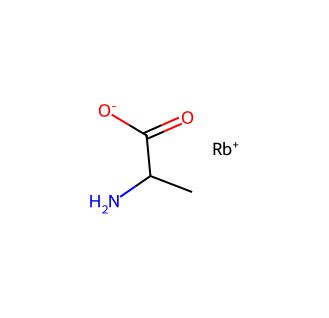 CC(N)C(=O)[O-].[Rb+]